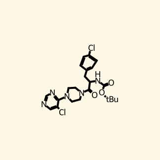 CC(C)(C)OC(=O)NC(Cc1ccc(Cl)cc1)C(=O)N1CCN(c2ncncc2Cl)CC1